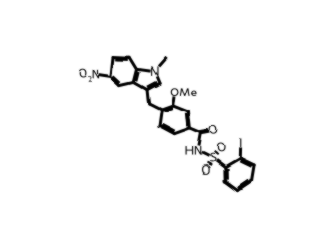 COc1cc(C(=O)NS(=O)(=O)c2ccccc2I)ccc1Cc1cn(C)c2ccc([N+](=O)[O-])cc12